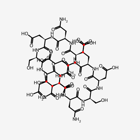 CC(=O)N[C@H](CC(=O)O)C(=O)N[C@H](CC(N)=O)C(=O)N[C@H](CC(=O)O)C(=O)N[C@H](CO)C(=O)N[C@H](CCC(=O)O)C(=O)N[C@H](CC(=O)O)C(=O)N[C@H](CC(N)=O)C(=O)N[C@H](CO)C(=O)N[C@H](CC(=O)O)C(=O)N[C@H](CCC(=O)O)C(=O)N[C@H](CCC(=O)O)C(=O)N[C@H](CC(N)=O)C(N)=O